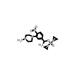 CC(OP(=O)(N1CC1)N1CC1)c1ccc([N+](=O)[O-])c(N2CCN(C)CC2)c1